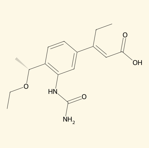 CCO[C@H](C)c1ccc(/C(=C/C(=O)O)CC)cc1NC(N)=O